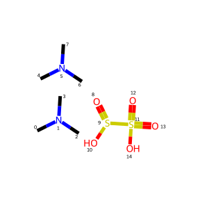 CN(C)C.CN(C)C.O=S(O)S(=O)(=O)O